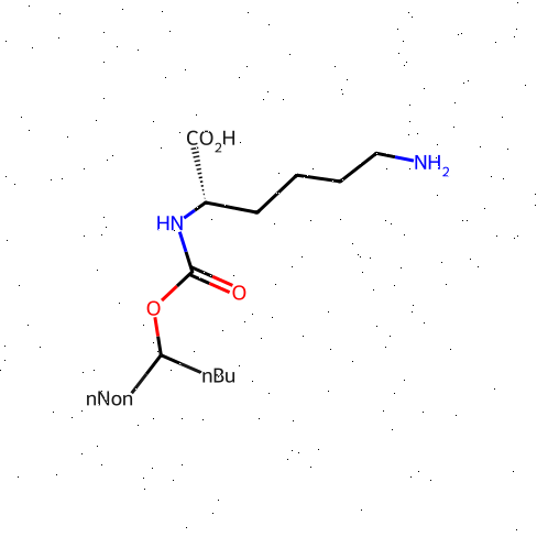 CCCCCCCCCC(CCCC)OC(=O)N[C@@H](CCCCN)C(=O)O